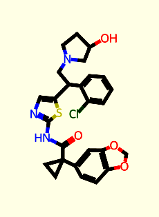 O=C(Nc1ncc(C(CN2CCC(O)C2)c2ccccc2Cl)s1)C1(c2ccc3c(c2)OCO3)CC1